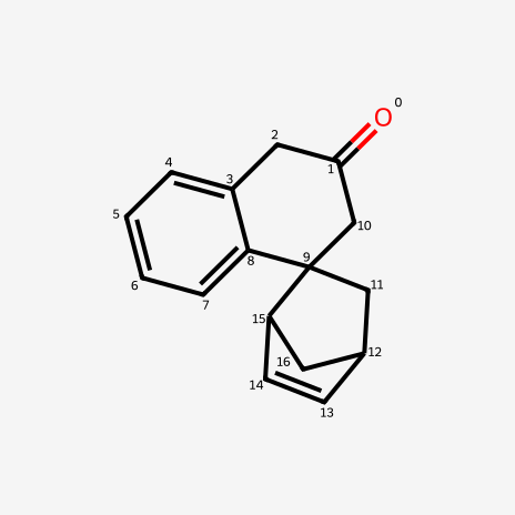 O=C1Cc2ccccc2C2(C1)CC1C=CC2C1